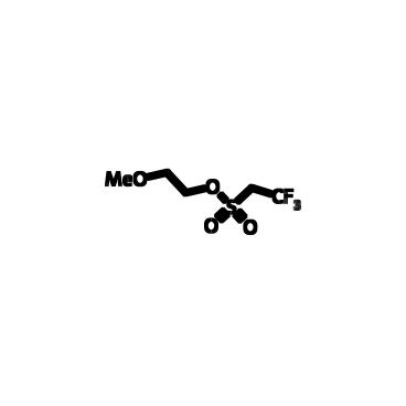 COCCOS(=O)(=O)CC(F)(F)F